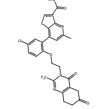 COC(=O)c1csc2c(-c3cc(Cl)ccc3OCCn3c(C(F)(F)F)nc4c(c3=O)CC(=O)CC4)cc(C)nc12